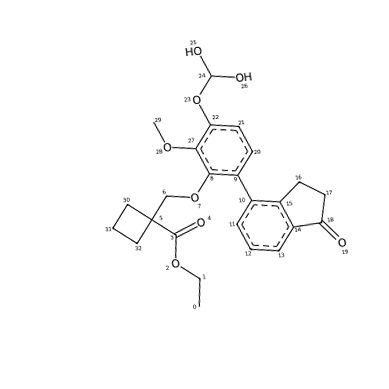 CCOC(=O)C1(COc2c(-c3cccc4c3CCC4=O)ccc(OC(O)O)c2OC)CCC1